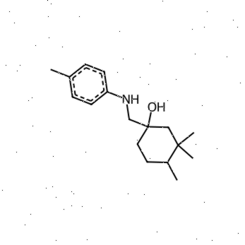 Cc1ccc(NCC2(O)CCC(C)C(C)(C)C2)cc1